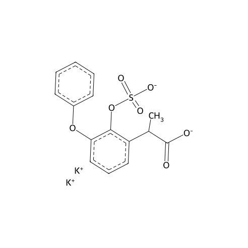 CC(C(=O)[O-])c1cccc(Oc2ccccc2)c1OS(=O)(=O)[O-].[K+].[K+]